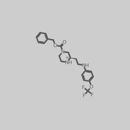 O=C(OCc1ccccc1)N1CCN[C@H](CCNc2ccc(OC(F)(F)F)cc2)C1